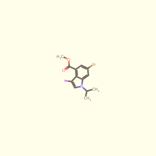 COC(=O)c1cc(Br)cc2c1c(I)cn2C(C)C